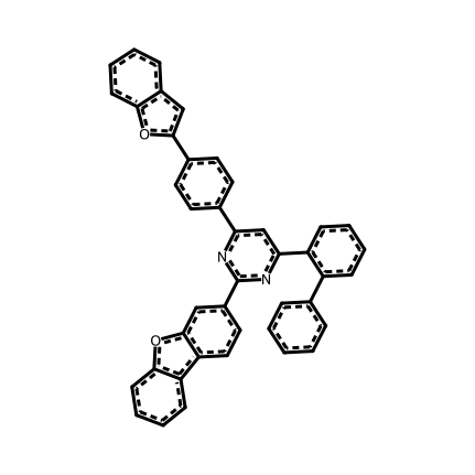 c1ccc(-c2ccccc2-c2cc(-c3ccc(-c4cc5ccccc5o4)cc3)nc(-c3ccc4c(c3)oc3ccccc34)n2)cc1